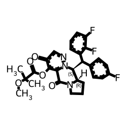 COC(C)(C)C(=O)Oc1c2n(ncc1=O)[C@@H](C(c1ccc(F)cc1)c1cccc(F)c1F)[C@H]1CCCN1C2=O